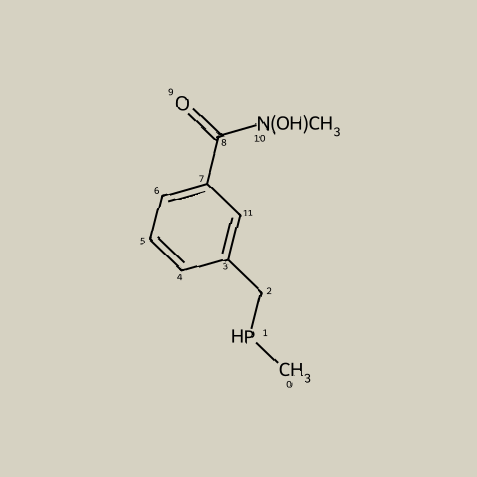 CPCc1cccc(C(=O)N(C)O)c1